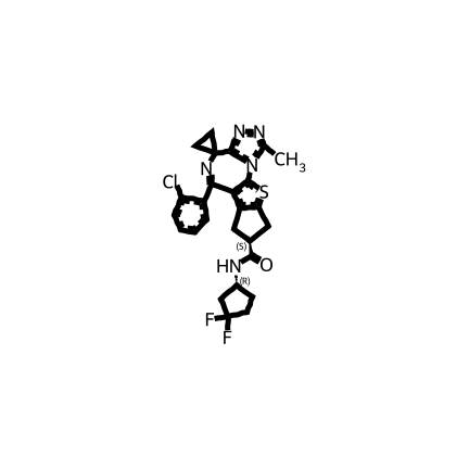 Cc1nnc2n1-c1sc3c(c1C(c1ccccc1Cl)=NC21CC1)C[C@H](C(=O)N[C@@H]1CCC(F)(F)C1)C3